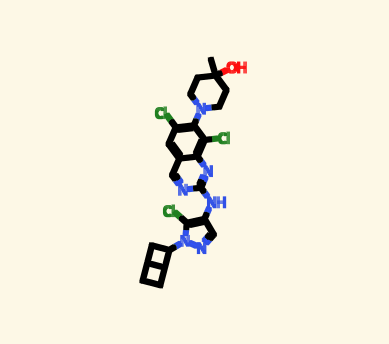 CC1(O)CCN(c2c(Cl)cc3cnc(Nc4cnn(C5CC6CCC65)c4Cl)nc3c2Cl)CC1